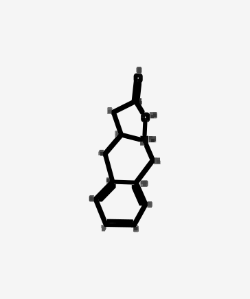 O=C1CC2Cc3ccccc3CN2O1